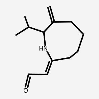 C=C1CCCC/C(=C/C=O)NC1C(C)C